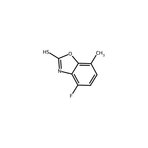 Cc1ccc(F)c2nc(S)oc12